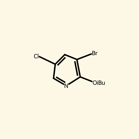 CC(C)COc1ncc(Cl)cc1Br